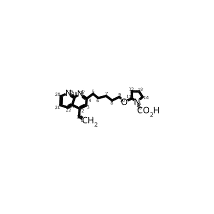 C=Cc1cc(CCCCCOC2CCCN2C(=O)O)nc2ncccc12